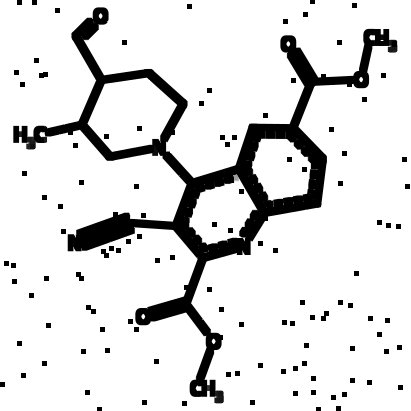 COC(=O)c1ccc2nc(C(=O)OC)c(C#N)c(N3CCC(C=O)C(C)C3)c2c1